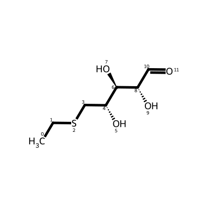 CCSC[C@@H](O)[C@@H](O)[C@@H](O)C=O